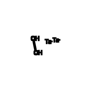 OO.[Ta].[Ta]